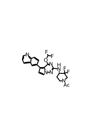 CC(=O)N1CC[C@@H](Nc2nc(OC(F)F)c3c(-c4ccc5ncccc5c4)ccn3n2)C(F)(F)C1